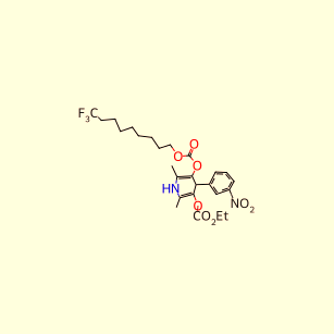 CCOC(=O)OC1=C(C)NC(C)=C(OC(=O)OCCCCCCCCC(F)(F)F)C1c1cccc([N+](=O)[O-])c1